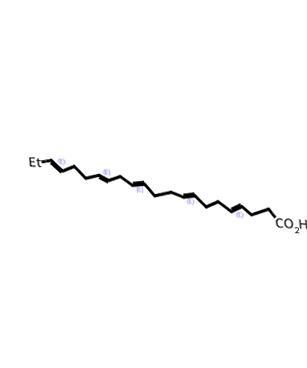 CC/C=C/CC/C=C/C/C=C/CC/C=C/CC/C=C/CCC(=O)O